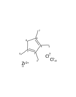 CC1=C(C)C(C)=C(C)C1.[Cl-].[Cl-].[Zr+2]